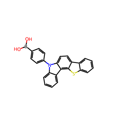 OB(O)c1ccc(-n2c3ccccc3c3c4sc5ccccc5c4ccc32)cc1